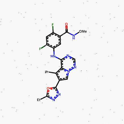 CCc1nnc(-c2cn3ncnc(Nc4cc(C(=O)NOC)c(F)cc4F)c3c2C(C)C)o1